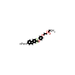 C=CC(=O)OCCCOc1ccc(OC(F)(F)c2ccc3c(c2)Cc2cc(CCCCC)ccc2-3)cc1